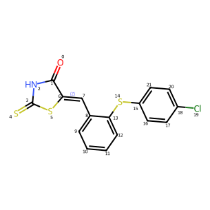 O=C1NC(=S)S/C1=C\c1ccccc1Sc1ccc(Cl)cc1